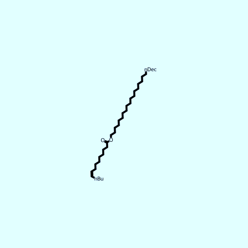 CCCC/C=C\CCCCCCCC(=O)OCCCCCCCCCCCCCCCCCCCCCCCCCCCC